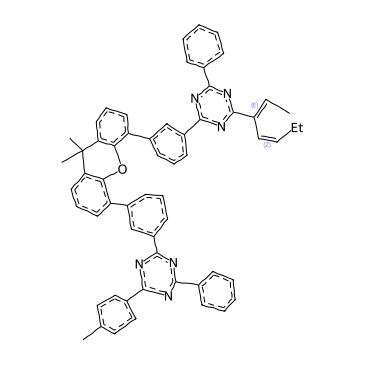 C/C=C(\C=C/CC)c1nc(-c2ccccc2)nc(-c2cccc(-c3cccc4c3Oc3c(-c5cccc(-c6nc(-c7ccccc7)nc(-c7ccc(C)cc7)n6)c5)cccc3C4(C)C)c2)n1